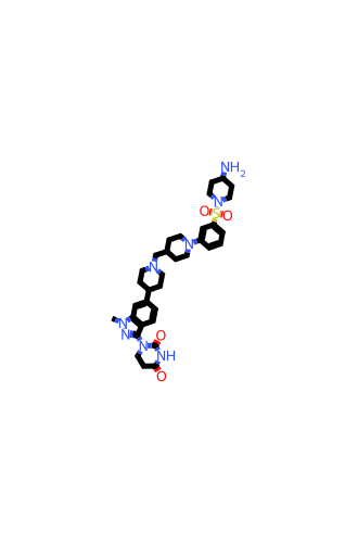 Cn1nc(N2CCC(=O)NC2=O)c2ccc(C3CCN(CC4CCN(c5cccc(S(=O)(=O)N6CCC(N)CC6)c5)CC4)CC3)cc21